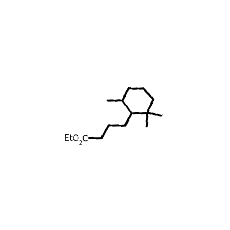 CCOC(=O)CCCC1C(C)CCCC1(C)C